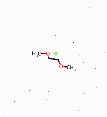 COCCOC.F